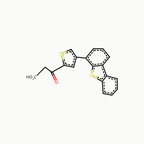 O=C(O)CC(=O)c1cc(-c2cccc3c2sc2ccccc23)cs1